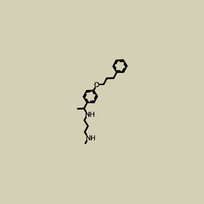 CNCCCNC(C)c1ccc(OCCCc2ccccc2)cc1